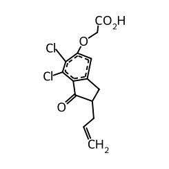 C=CCC1Cc2cc(OCC(=O)O)c(Cl)c(Cl)c2C1=O